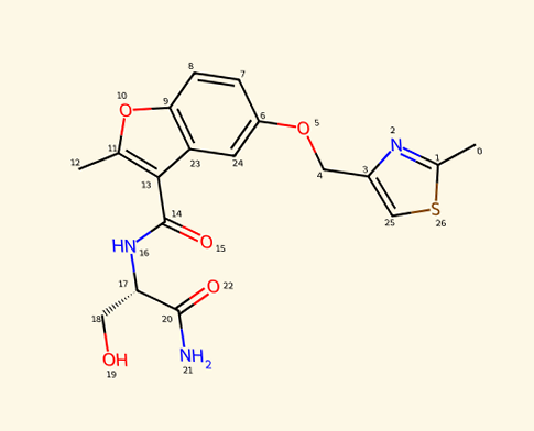 Cc1nc(COc2ccc3oc(C)c(C(=O)N[C@@H](CO)C(N)=O)c3c2)cs1